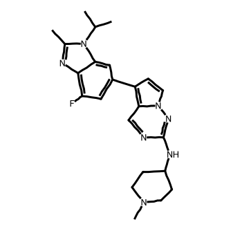 Cc1nc2c(F)cc(-c3ccn4nc(NC5CCN(C)CC5)ncc34)cc2n1C(C)C